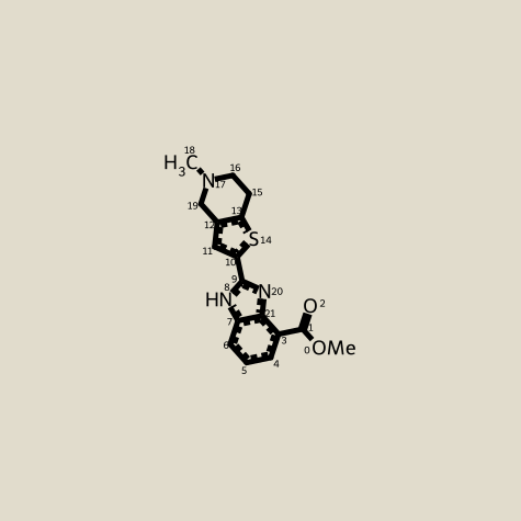 COC(=O)c1cccc2[nH]c(-c3cc4c(s3)CCN(C)C4)nc12